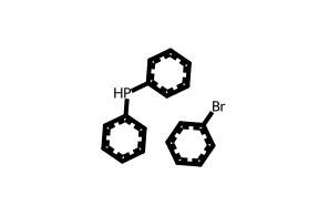 Brc1ccccc1.c1ccc(Pc2ccccc2)cc1